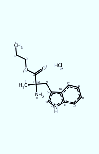 CCCOC(=O)[C@@](C)(N)Cc1c[nH]c2ccccc12.Cl